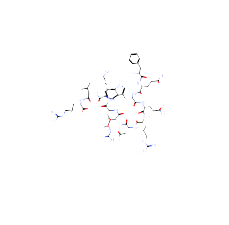 CC[C@H](C)[C@H](NC(=O)[C@H](CC(N)=O)NC(=O)[C@H](CCCNC(=N)N)NC(=O)[C@H](CCC(N)=O)NC(=O)[C@H](Cc1c[nH]c2ccccc12)NC(=O)[C@H](CCC(N)=O)NC(=O)[C@@H](N)Cc1ccccc1)C(=O)N[C@@H](CCCNC(=N)N)C(=O)N[C@@H](CCCCN)C(=O)N[C@H](C(=O)N[C@@H](CCCNC(=N)N)C(=O)O)C(C)C